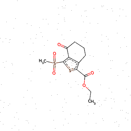 CCOC(=O)c1sc(S(C)(=O)=O)c2c1CCCC2=O